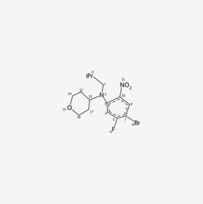 CC(C)CN(c1cc(F)c(Br)cc1[N+](=O)[O-])C1CCOCC1